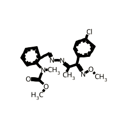 CO/N=C(/C(C)=N/N=C/c1ccccc1N(C)C(=O)OC)c1ccc(Cl)cc1